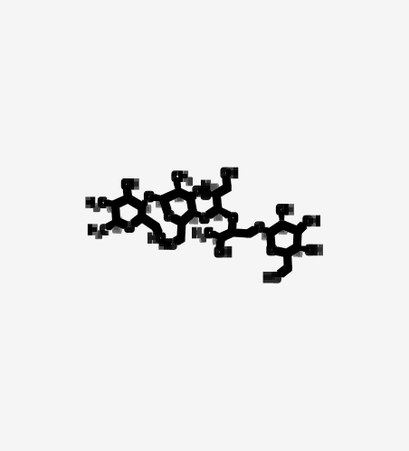 C[C@H](O)C(CO[C@H]1OC(CO)[C@@H](O)C(O)[C@H]1O)O[C@@H](O[C@@H]1C(CO)O[C@@H](O[C@@H]2C(CO)O[C@@H](C)[C@@H](C)C2O)[C@@H](C)C1O)[C@H](O)CO